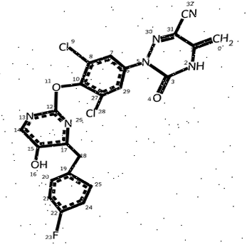 C=C1NC(=O)N(c2cc(Cl)c(Oc3ncc(O)c(Cc4ccc(F)cc4)n3)c(Cl)c2)N=C1C#N